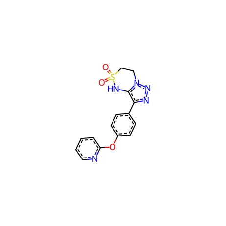 O=S1(=O)CCn2nnc(-c3ccc(Oc4ccccn4)cc3)c2N1